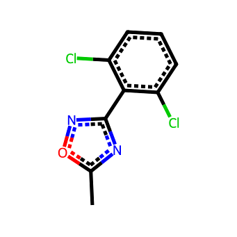 Cc1nc(-c2c(Cl)cccc2Cl)no1